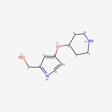 OCc1cc(OC2CCNCC2)ccn1